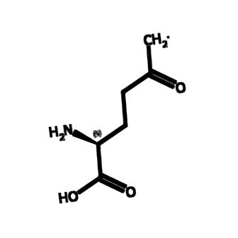 [CH2]C(=O)CC[C@H](N)C(=O)O